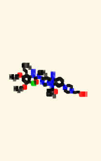 C=CC(=O)Nc1cc(N2CCN(CCO)CC2)ccc1Nc1cc(N(C)C(=O)Nc2c(Cl)c(OC)cc(OC)c2CCC)ncn1